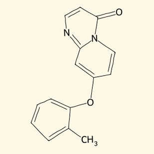 Cc1ccccc1Oc1ccn2c(=O)ccnc2c1